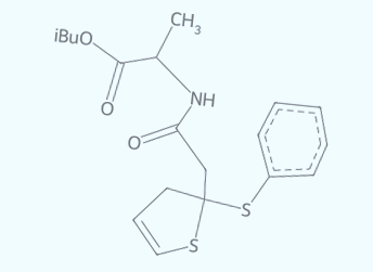 CC(C)COC(=O)C(C)NC(=O)CC1(Sc2ccccc2)CC=CS1